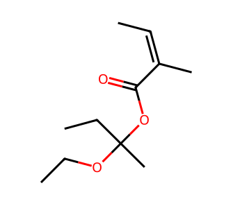 CC=C(C)C(=O)OC(C)(CC)OCC